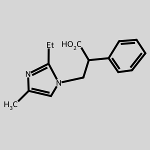 CCc1nc(C)cn1CC(C(=O)O)c1ccccc1